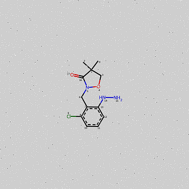 CC1(C)CON(Cc2c(Cl)cccc2NN)C1=O